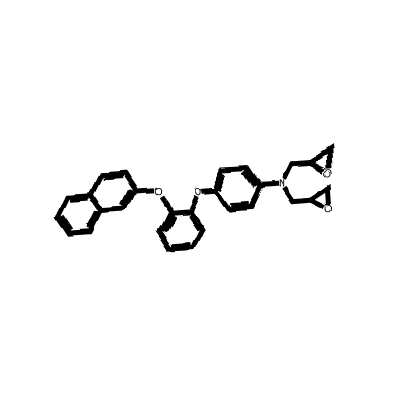 c1ccc(Oc2ccc3ccccc3c2)c(Oc2ccc(N(CC3CO3)CC3CO3)cc2)c1